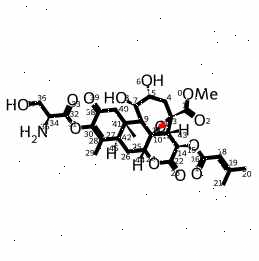 COC(=O)[C@]12C[C@@H](O)[C@H](O)C3[C@]4(CO1)[C@H]2[C@@H](OC(=O)C=C(C)C)C(=O)O[C@@H]4C[C@H]1C(C)=C(OC(=O)[C@@H](N)CO)C(=O)C[C@]31C